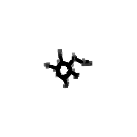 CCCCOc1c(F)c(F)[c]c(F)c1F